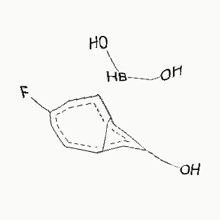 OBO.Oc1c2cc(F)cc1-2